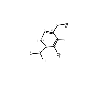 CC1=C(O)C(C(Cl)Cl)NC=C1CO